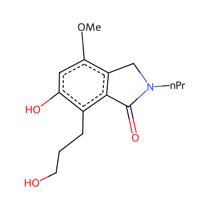 CCCN1Cc2c(OC)cc(O)c(CCCO)c2C1=O